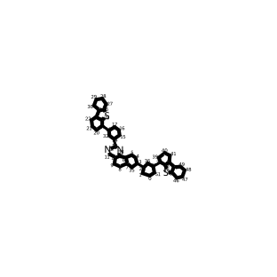 c1cc(-c2ccc3c(ccc4cnc(-c5cccc(-c6cccc7c6sc6ccccc67)c5)nc43)c2)cc(-c2cccc3c2sc2ccccc23)c1